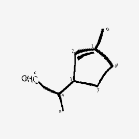 CC1=CC(C(C)C=O)CC1